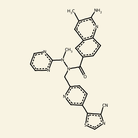 Cc1cc2cc(C(=O)N(Cc3ccc(-c4scnc4C#N)cn3)N(C)c3ncccn3)ccc2nc1N